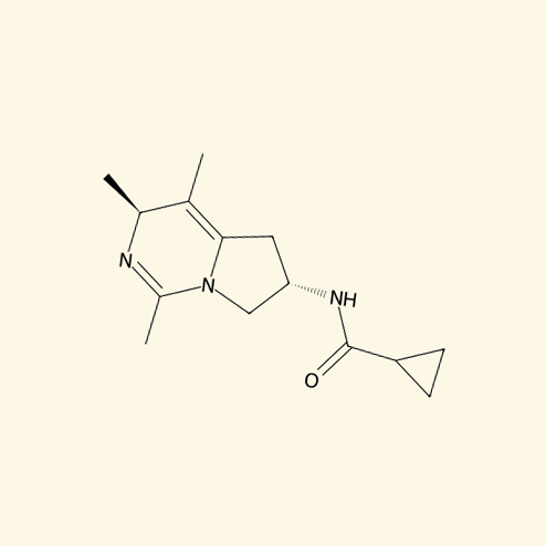 CC1=N[C@@H](C)C(C)=C2C[C@H](NC(=O)C3CC3)CN12